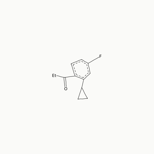 CCC(=O)c1ccc(F)cc1C1CC1